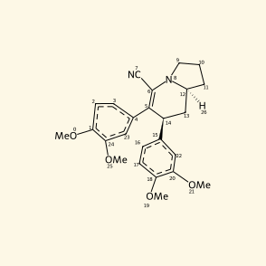 COc1ccc(C2=C(C#N)N3CCC[C@H]3C[C@H]2c2ccc(OC)c(OC)c2)cc1OC